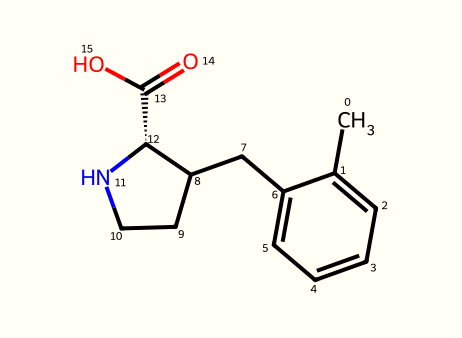 Cc1ccccc1CC1CCN[C@@H]1C(=O)O